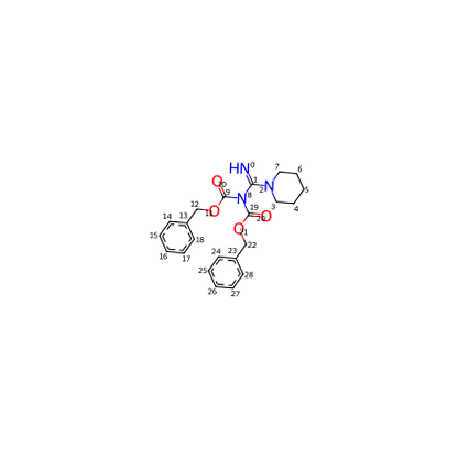 N=C(N1CCCCC1)N(C(=O)OCc1ccccc1)C(=O)OCc1ccccc1